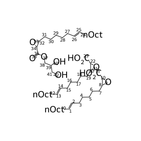 CCCCCCCCC=CCCCCCC1OC1C(=O)O.CCCCCCCCC=CCCCCCC1OC1C(=O)O.CCCCCCCCC=CCCCCCC1OC1C(=O)OCC(O)CO